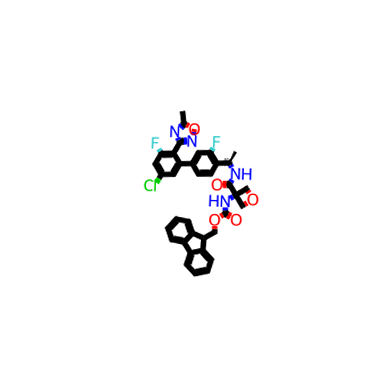 Cc1nc(-c2c(F)cc(Cl)cc2-c2ccc([C@@H](C)NC(=O)C3(NC(=O)OCC4c5ccccc5-c5ccccc54)COC3)c(F)c2)no1